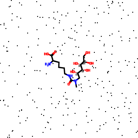 CN(C[C@H](O)[C@@H](O)[C@H](O)[C@H](O)CO)C(=O)NCCCCC(N)C(=O)O